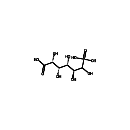 O=C(O)[C@H](O)[C@@H](O)[C@H](O)[C@H](O)C(O)P(=O)(O)O